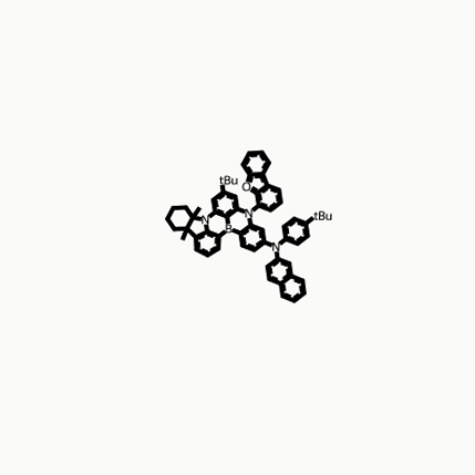 CC(C)(C)c1ccc(N(c2ccc3c(c2)N(c2cccc4c2oc2ccccc24)c2cc(C(C)(C)C)cc4c2B3c2cccc3c2N4C2(C)CCCCC32C)c2ccc3ccccc3c2)cc1